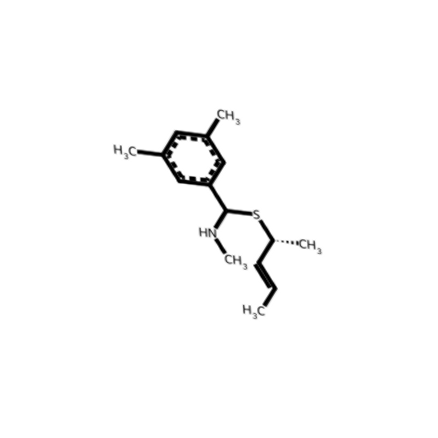 C/C=C/[C@@H](C)SC(NC)c1cc(C)cc(C)c1